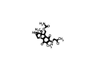 COC12C(COC(N)=O)C3=C(C(=O)C(C)=C(NCC(C)Cl)C3=O)N1CC1NC12